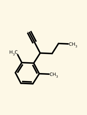 [C]#CC(CCC)c1c(C)cccc1C